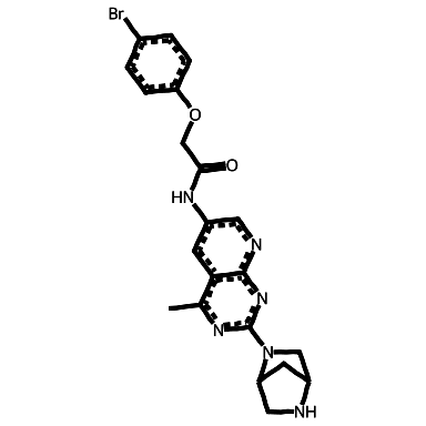 Cc1nc(N2CC3CC2CN3)nc2ncc(NC(=O)COc3ccc(Br)cc3)cc12